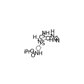 Cc1nc(C2CCC(NC(=O)OC(C)C)CC2)sc1-c1ccc(Nc2ccn[nH]2)cc1SN